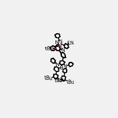 CC(C)(C)c1cc(-c2ccc3c(c2)B2c4cc(-c5cc(C(C)(C)C)cc(C(C)(C)C)c5)ccc4N(c4ccccc4)c4cc(-c5ccc6c(c5)c5cc(C(C)(C)C)ccc5n6-c5ccc(C#N)cc5-c5nc(-c6ccccc6)nc(-c6ccccc6)n5)cc(c42)N3c2ccccc2)cc(C(C)(C)C)c1